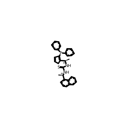 C[C@@H](NC(=S)N[C@H](C)c1cccc2ccccc12)C1=C(P(c2ccccc2)c2ccccc2)C=CC1